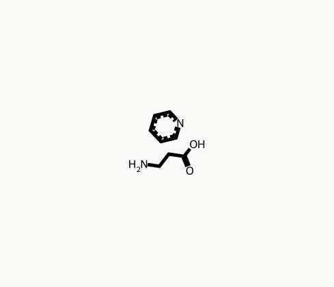 NCCC(=O)O.c1ccncc1